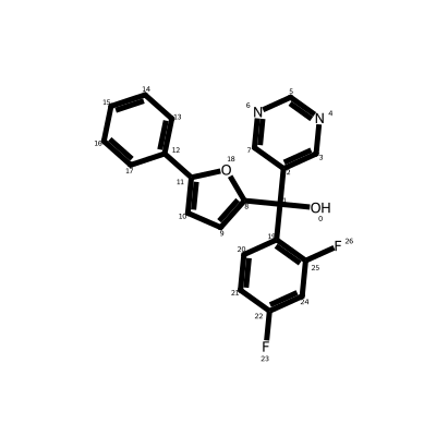 OC(c1cncnc1)(c1ccc(-c2ccccc2)o1)c1ccc(F)cc1F